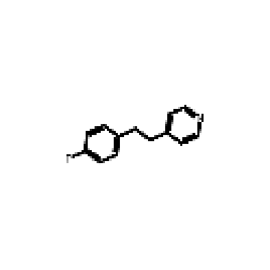 Fc1ccc(C[CH]c2ccncc2)cc1